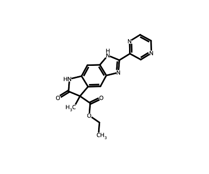 CCOC(=O)C1(C)C(=O)Nc2cc3[nH]c(-c4cnccn4)nc3cc21